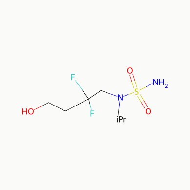 CC(C)N(CC(F)(F)CCO)S(N)(=O)=O